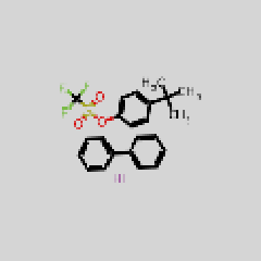 CC(C)(C)c1ccc(OS(=O)(=O)C(F)(F)F)cc1.I.c1ccc(-c2ccccc2)cc1